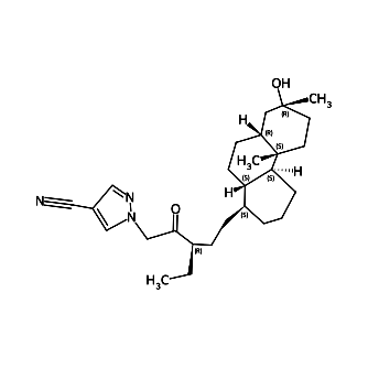 CC[C@H](CC[C@@H]1CCC[C@H]2[C@H]1CC[C@@H]1C[C@](C)(O)CC[C@@]12C)C(=O)Cn1cc(C#N)cn1